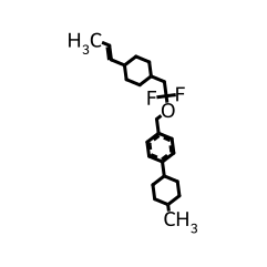 CC=CC1CCC(CC(F)(F)OCc2ccc(C3CCC(C)CC3)cc2)CC1